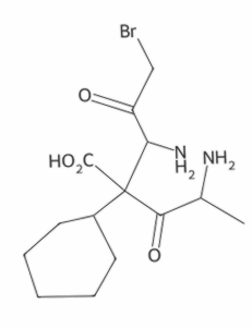 CC(N)C(=O)C(C(=O)O)(C1CCCCC1)C(N)C(=O)CBr